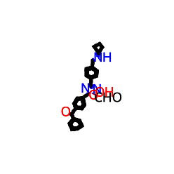 O=C(c1ccccc1)c1ccc(-c2nc(-c3ccc(CNC4CCC4)cc3)no2)cc1.O=CO